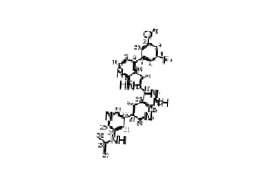 COc1cc(F)cc(-c2ccnc3[nH]c(-c4n[nH]c5ncc(-c6cncc(NC(C)C)c6)cc45)cc23)c1